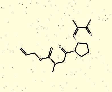 C=CCOC(=O)N(C)CC(=O)N1CCC[C@H]1C=C(C)C(C)=O